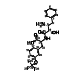 N[C@H](Cc1ccccc1)[C@H](O)C(=O)N[C@@H](Cc1cccc(OC(F)(F)F)c1)C(=O)O